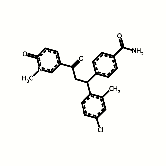 Cc1cc(Cl)ccc1C(CC(=O)c1ccc(=O)n(C)c1)c1ccc(C(N)=O)cc1